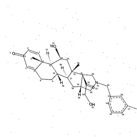 C[C@]12C=CC(=O)C=C1CC[C@@H]1[C@@H]2[C@@H](O)C[C@@]2(C)[C@H]1C[C@H]1CN(Cc3cccc(Cl)c3)C[C@]12C(=O)CO